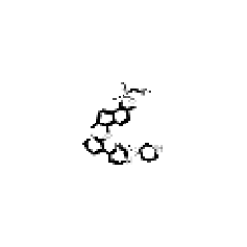 Cc1ccc2c(Oc3ncccc3-c3ccnc(N[C@H]4CCCNC4)n3)c(C)ccc2c1NS(=O)(=O)CC(C)C